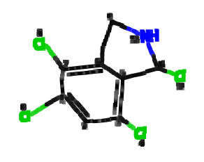 Clc1cc(Cl)c2c(c1Cl)CNC2Cl